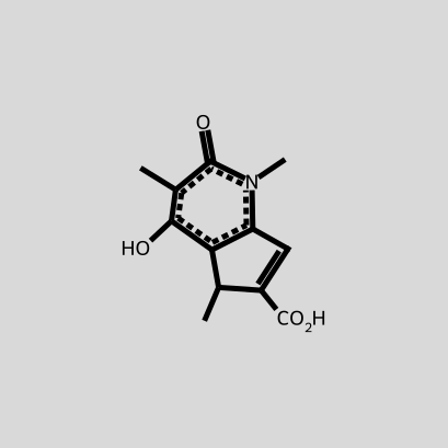 Cc1c(O)c2c(n(C)c1=O)C=C(C(=O)O)C2C